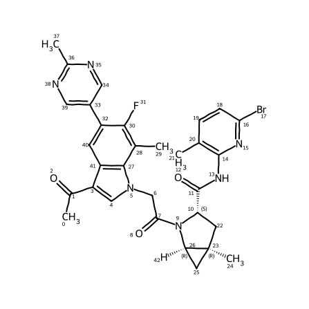 CC(=O)c1cn(CC(=O)N2[C@H](C(=O)Nc3nc(Br)ccc3C)C[C@@]3(C)C[C@@H]23)c2c(C)c(F)c(-c3cnc(C)nc3)cc12